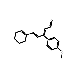 COc1ccc(C(=C\C=O)/C=C/C2=CCCCC2)cc1